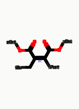 CCCCCCCCOC(=O)/C(CCCCC)=C(/CC(C)(C)C)C(=O)OCCCCCCCC